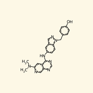 CN(C)c1cc2c(Nc3ccc4c(cnn4Cc4ccc(O)cc4)c3)ncnc2cn1